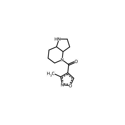 Cc1nocc1C(=O)N1CCCC2NCCC21